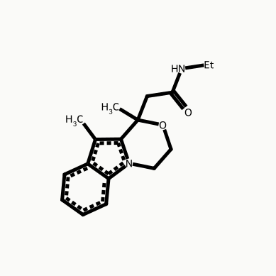 CCNC(=O)CC1(C)OCCn2c1c(C)c1ccccc12